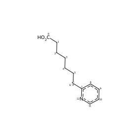 O=C(O)CCCCCSc1ccccn1